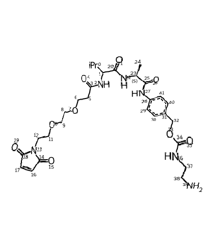 CC(C)C(NC(=O)CCOCCOCCN1C(=O)C=CC1=O)C(=O)N[C@@H](C)C(=O)Nc1ccc(COC(=O)NCCN)cc1